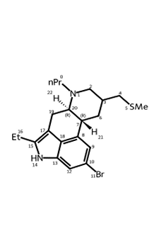 CCCN1CC(CSC)C[C@@H]2c3cc(Br)cc4[nH]c(CC)c(c34)C[C@H]21